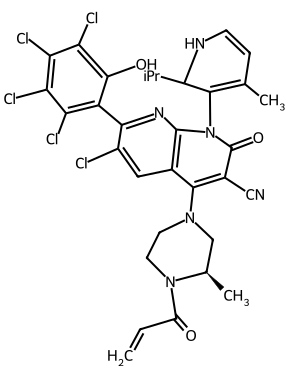 C=CC(=O)N1CCN(c2c(C#N)c(=O)n(C3=C(C)C=CNC3C(C)C)c3nc(-c4c(O)c(Cl)c(Cl)c(Cl)c4Cl)c(Cl)cc23)C[C@H]1C